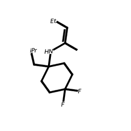 CC/C=C(/C)NC1(CC(C)C)CCC(F)(F)CC1